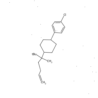 C=CCCC(C)(C1CCC(c2ccc(Cl)cc2)CC1)C(C)(C)C